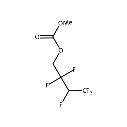 COC(=O)OCC(F)(F)C(F)C(F)(F)F